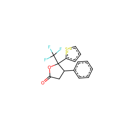 O=C1CC(c2ccccc2)C(c2cccs2)(C(F)(F)F)O1